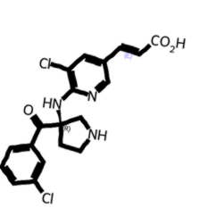 O=C(O)/C=C/c1cnc(N[C@]2(C(=O)c3cccc(Cl)c3)CCNC2)c(Cl)c1